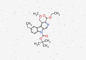 CCOC(=O)c1ncc2c(c1COC)c1cc(CC)ccc1n2C(=O)OC(C)(C)C